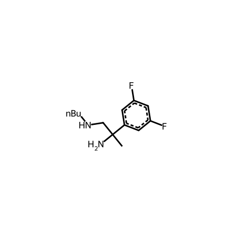 CCCCNCC(C)(N)c1cc(F)cc(F)c1